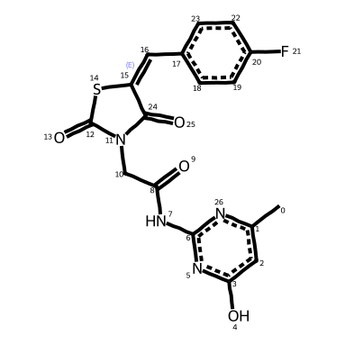 Cc1cc(O)nc(NC(=O)CN2C(=O)S/C(=C/c3ccc(F)cc3)C2=O)n1